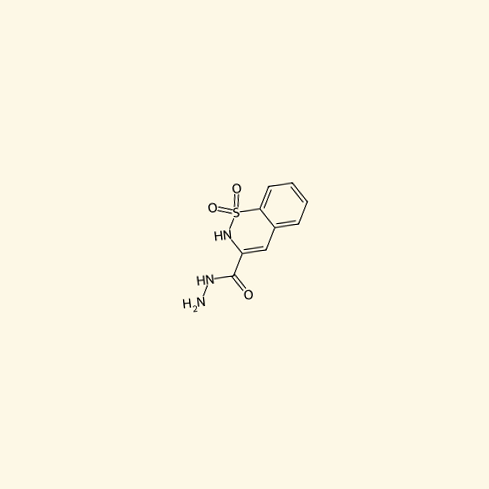 NNC(=O)C1=Cc2ccccc2S(=O)(=O)N1